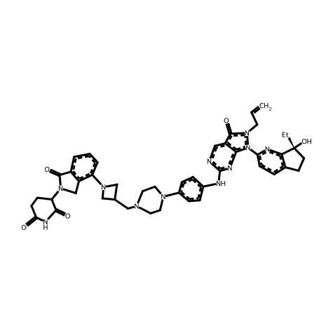 C=CCn1c(=O)c2cnc(Nc3ccc(N4CCN(CC5CN(c6cccc7c6CN(C6CCC(=O)NC6=O)C7=O)C5)CC4)cc3)nc2n1-c1ccc2c(n1)[C@@](O)(CC)CC2